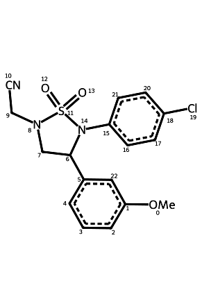 COc1cccc(C2CN(CC#N)S(=O)(=O)N2c2ccc(Cl)cc2)c1